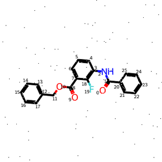 O=C(Nc1cccc(C(=O)OCc2ccccc2)c1F)c1ccccc1